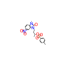 Cc1ccc(S(=O)(=O)OC(C)CCn2c(=O)n(C)c3ccc([N+](=O)[O-])cc32)cc1